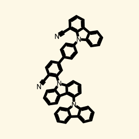 N#Cc1ccc(-c2ccc(-n3c4ccccc4c4cccc(C#N)c43)cc2)cc1-n1c2ccccc2c2c(-n3c4ccccc4c4ccccc43)cccc21